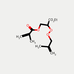 C=C(C)COOC(COC(=O)C(=C)C)C(=O)OCC